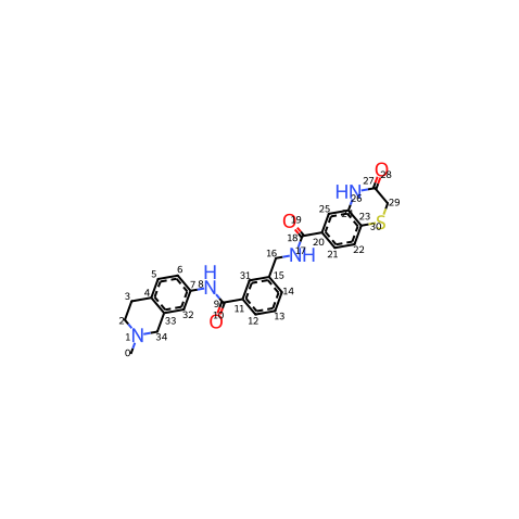 CN1CCc2ccc(NC(=O)c3cccc(CNC(=O)c4ccc5c(c4)NC(=O)CS5)c3)cc2C1